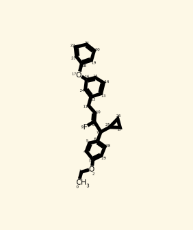 CCOc1ccc(C(/C(F)=C/Cc2cccc(Oc3ccccc3)c2)C2CC2)cc1